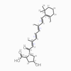 CC1=C(/C=C/C(C)=C/C=C/C(C)=C/C(=O)N2CC(O)CC2C(=O)O)C(C)(C)CCC1